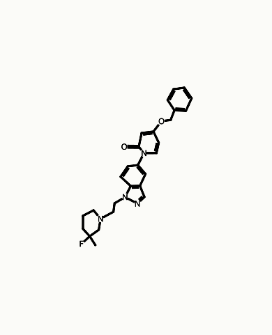 CC1(F)CCCN(CCn2ncc3cc(-n4ccc(OCc5ccccc5)cc4=O)ccc32)C1